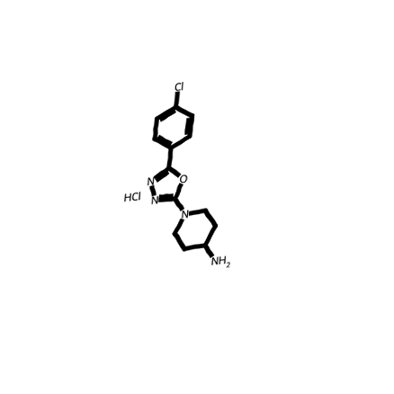 Cl.NC1CCN(c2nnc(-c3ccc(Cl)cc3)o2)CC1